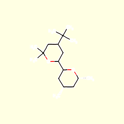 C[C@@H]1CC(C2CC(C(C)(C)C)CC(C)(C)O2)O[C@H](C)C1